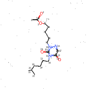 CC(=O)O[C@H](C)CCCCn1ncc(=O)n(CCCCC(C)C)c1=O